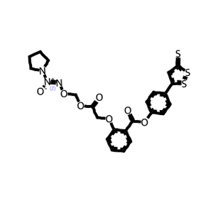 O=C(COc1ccccc1C(=O)Oc1ccc(-c2cc(=S)ss2)cc1)OCO/N=[N+](\[O-])N1CCCC1